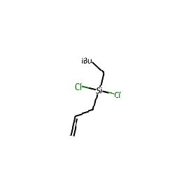 C=CC[Si](Cl)(Cl)CC(C)CC